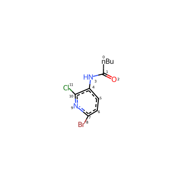 CCCCC(=O)Nc1ccc(Br)nc1Cl